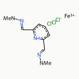 CNN=Cc1cccc(C=NNC)n1.[Cl-].[Cl-].[Cl-].[Fe+3]